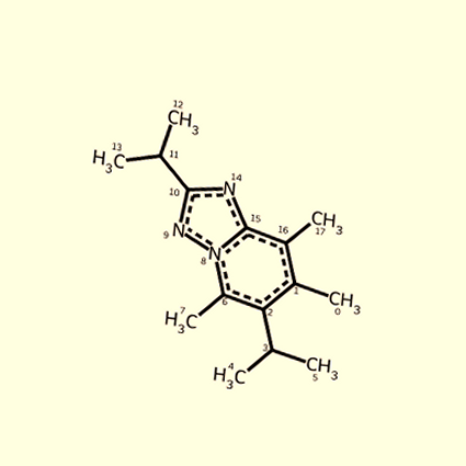 Cc1c(C(C)C)c(C)n2nc(C(C)C)nc2c1C